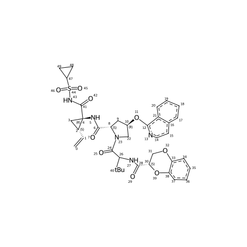 C=C[C@@H]1C[C@]1(NC(=O)[C@@H]1C[C@@H](Oc2nccc3ccccc23)CN1C(=O)C(NC(=O)[C@@H]1COc2ccccc2O1)C(C)(C)C)C(=O)NS(=O)(=O)C1CC1